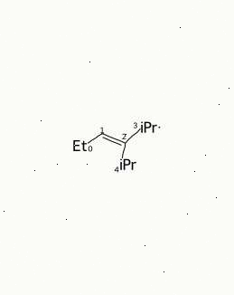 CCC=C([C](C)C)C(C)C